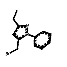 CCc1cc(CBr)n(-c2ccccc2)n1